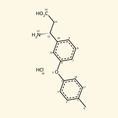 Cc1ccc(Oc2cccc([C@H](N)CC(=O)O)c2)cc1.Cl